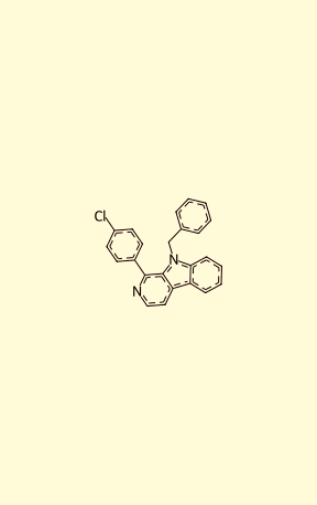 Clc1ccc(-c2nccc3c4ccccc4n(Cc4ccccc4)c23)cc1